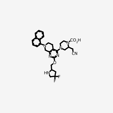 N#CCC1CN(c2nc(OCC3CC(F)(F)CN3)nc3c2CCN(c2cccc4ccccc24)C3)CCN1C(=O)O